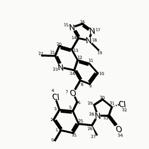 Cc1cc(Cl)c(COc2cccc3c(-c4ncnn4C)cc(C)nc23)c([C@H](C)N2CC[C@H](Cl)C2=O)c1